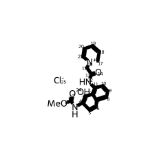 COC(=O)Nc1ccc2cccc(NC(=O)C[n+]3ccccc3)c2c1O.[Cl-]